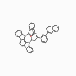 C1=C(c2ccccc2)N=C(c2cccc(-c3ccc4ccccc4c3)c2)CC1n1c2ccccc2c2ccc3c4ccccc4n(-c4ccccc4)c3c21